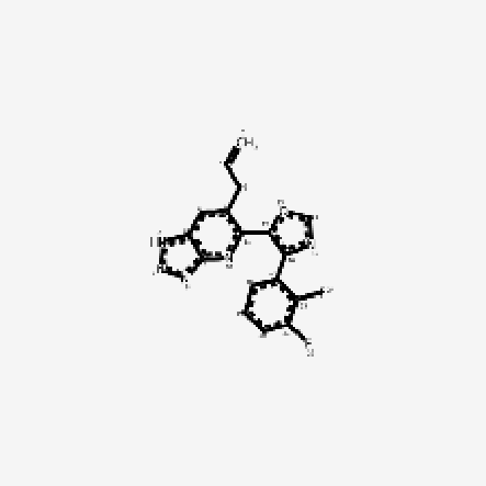 C=CCc1cc2[nH]nnc2nc1-c1ocnc1-c1cccc(F)c1F